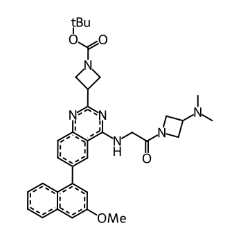 COc1cc(-c2ccc3nc(C4CN(C(=O)OC(C)(C)C)C4)nc(NCC(=O)N4CC(N(C)C)C4)c3c2)c2ccccc2c1